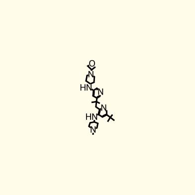 CN1CCC(Nc2cc(C(C)(C)C)cnc2CC(C)(C)c2cncc(NC3CCN(C4COC4)CC3)c2)CC1